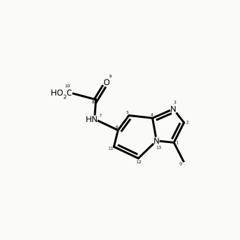 Cc1cnc2cc(NC(=O)C(=O)O)ccn12